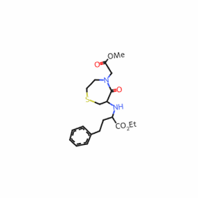 CCOC(=O)C(CCc1ccccc1)NC1CSCCN(CC(=O)OC)C1=O